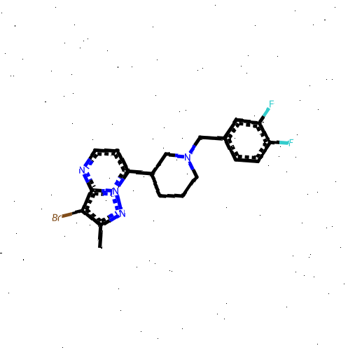 Cc1nn2c(C3CCCN(Cc4ccc(F)c(F)c4)C3)ccnc2c1Br